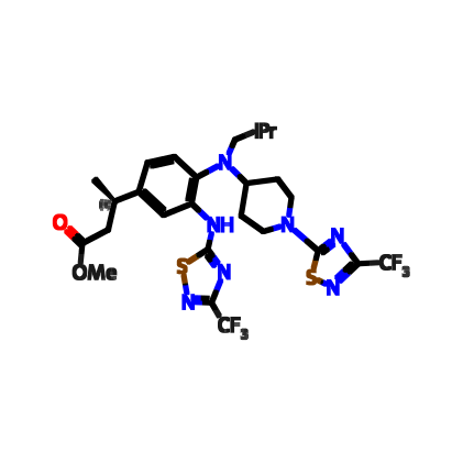 COC(=O)C[C@@H](C)c1ccc(N(CC(C)C)C2CCN(c3nc(C(F)(F)F)ns3)CC2)c(Nc2nc(C(F)(F)F)ns2)c1